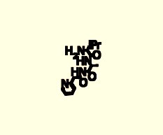 CC(C)[C@H](N)C(=O)N[C@@H](C)C(=O)NC(=O)Cc1ccccn1